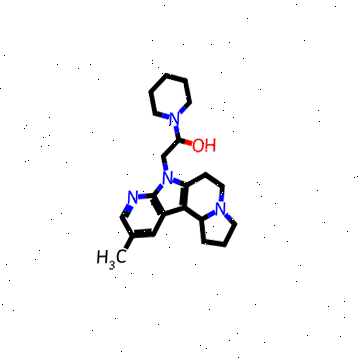 Cc1cnc2c(c1)c1c(n2CC(O)N2CCCCC2)CCN2CCCC12